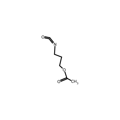 CC(=O)OCCCN=C=O